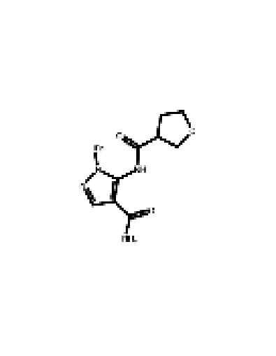 CC(C)n1ncc(C(N)=O)c1NC(=O)C1CCOC1